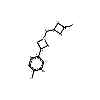 Cc1ccc(C2CN(CC3CN(C)C3)C2)cc1